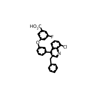 O=C(O)c1cc(F)cc(Oc2cccc(-c3c(Cc4ccccc4)cnc4c(Cl)cccc34)c2)c1